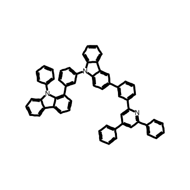 c1ccc(-c2cc(-c3ccccc3)nc(-c3cccc(-c4ccc5c(c4)c4ccccc4n5-c4cccc(-c5cccc6c7ccccc7n(-c7ccccc7)c56)c4)c3)c2)cc1